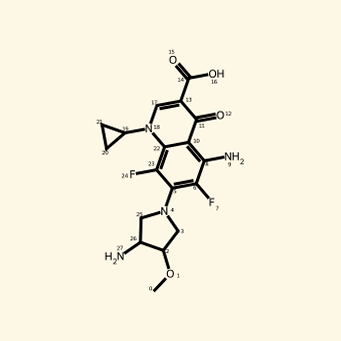 COC1CN(c2c(F)c(N)c3c(=O)c(C(=O)O)cn(C4CC4)c3c2F)CC1N